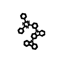 C1=CC2c3cc(-n4c5ccccc5c5ccccc54)ccc3N(c3cccc(-c4nc(-c5ccccc5)nc(-c5ccccc5)n4)c3)C2C=C1